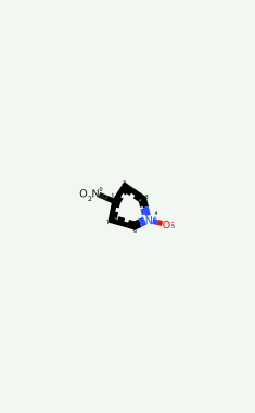 O=[N+]([O-])c1[c]c[n+]([O-])cc1